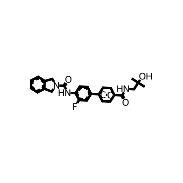 CC(C)(O)CNC(=O)C12CCC(c3ccc(NC(=O)N4Cc5ccccc5C4)c(F)c3)(CC1)CC2